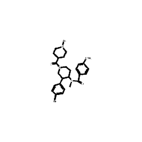 COc1ccc(C(=O)N(C)C2CCN(C(=O)C3CCN(C(C)=O)CC3)CC2c2ccc(Br)cc2)cc1